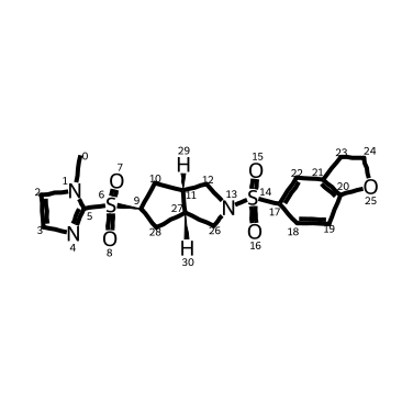 Cn1ccnc1S(=O)(=O)[C@H]1C[C@@H]2CN(S(=O)(=O)c3ccc4c(c3)CCO4)C[C@@H]2C1